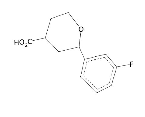 O=C(O)C1CCOC(c2cccc(F)c2)C1